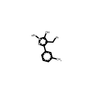 CCCn1nc(-c2cccc(C)c2)c(CC(C)C)c1O